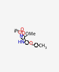 COCc1c(OC(=O)OC(C)C)ncc2[nH]c3ccc(OCc4ccc(C)cc4)cc3c12